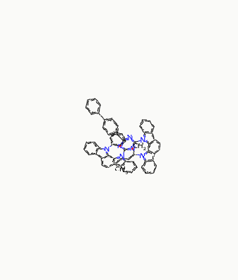 C=C/C(=C\C=C/C)n1c2ccccc2c2ccc3c4ccccc4n(-c4nc(-c5ccc(-c6ccccc6)cc5)nc(-n5c6ccccc6c6ccc7c8ccccc8n(-c8ccccc8)c7c65)n4)c3c21